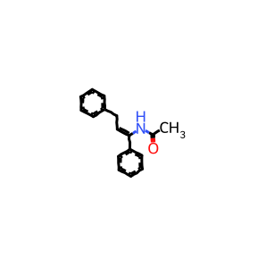 CC(=O)N/C(=C\Cc1ccccc1)c1ccccc1